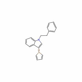 C1=C[SH](c2cn(CCc3ccccc3)c3ccccc23)C=C1